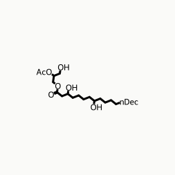 CCCCCCCCCCCCCCC(O)CCCCC(O)CC(=O)OCC(CO)OC(C)=O